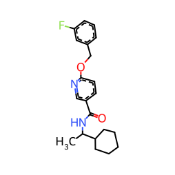 CC(NC(=O)c1ccc(OCc2cccc(F)c2)nc1)C1CCCCC1